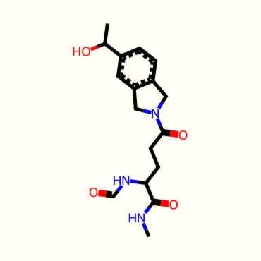 CNC(=O)C(CCC(=O)N1Cc2ccc(C(C)O)cc2C1)NC=O